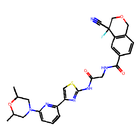 CC1CN(c2cccc(-c3csc(NC(=O)CNC(=O)c4ccc5c(c4)C(F)(C#N)COC5)n3)n2)CC(C)O1